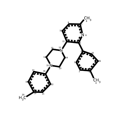 Cc1ccc(-c2nc(C)ccc2N2CCN(c3ccc(C)cc3)CC2)cc1